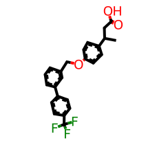 CC(CC(=O)O)c1ccc(OCc2cccc(-c3ccc(C(F)(F)F)cc3)c2)cc1